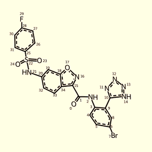 O=C(Nc1ccc(Br)cc1-c1nnn[nH]1)c1noc2cc(NS(=O)(=O)c3ccc(F)cc3)ccc12